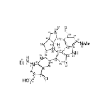 CCNn1cc(C(=O)O)c(=O)c2cc(-c3cnc4[nH]c5c(NC)cc(F)cc5c4c3N3CCC4CN(C)C[C@H]43)cnc21